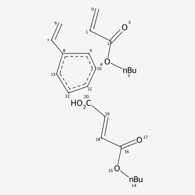 C=CC(=O)OCCCC.C=Cc1ccccc1.CCCCOC(=O)C=CC(=O)O